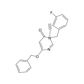 C#C[N+]1(Cc2cccc(F)c2)C=NC(OCc2ccccc2)=CC1=O